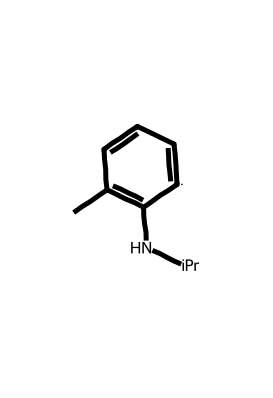 Cc1ccc[c]c1NC(C)C